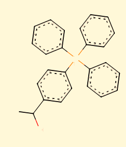 CC(O)c1ccc([PH](c2ccccc2)(c2ccccc2)c2ccccc2)cc1